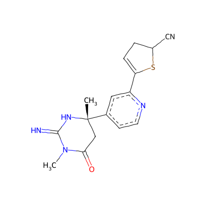 CN1C(=N)N[C@](C)(c2ccnc(C3=CCC(C#N)S3)c2)CC1=O